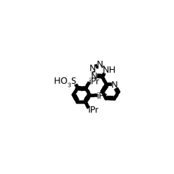 CC(C)c1ccc(S(=O)(=O)O)c(C(C)C)c1C(C)C.c1ccc(-c2nnn[nH]2)nc1